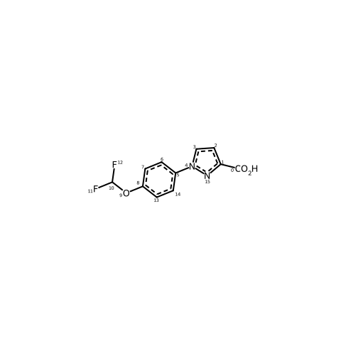 O=C(O)c1ccn(-c2ccc(OC(F)F)cc2)n1